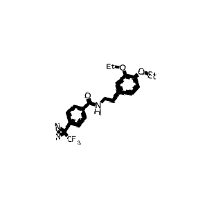 CCOc1ccc(CCNC(=O)c2ccc(C3(C(F)(F)F)N=N3)cc2)cc1OCC